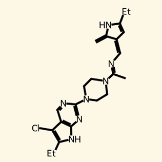 C=c1[nH]c(CC)c/c1=C/N=C(\C)N1CCN(c2ncc3c(Cl)c(CC)[nH]c3n2)CC1